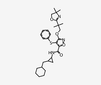 CC1(C)COC(C(C)(C)COc2noc(C(=O)NC3CC3CC3CCCCC3)c2Sc2ccccc2)=N1